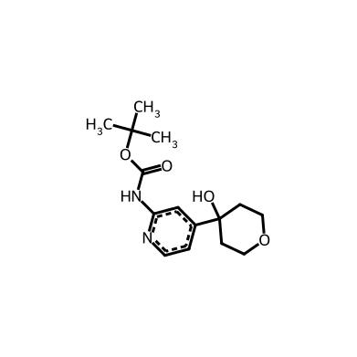 CC(C)(C)OC(=O)Nc1cc(C2(O)CCOCC2)ccn1